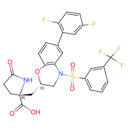 O=C1CC[C@@](C[C@H]2CN(S(=O)(=O)c3cccc(C(F)(F)F)c3)c3cc(-c4cc(F)ccc4F)ccc3O2)(C(=O)O)N1